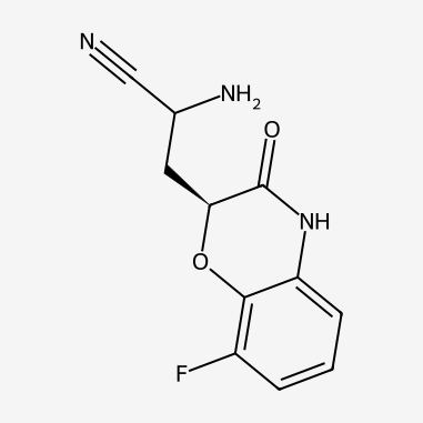 N#CC(N)C[C@@H]1Oc2c(F)cccc2NC1=O